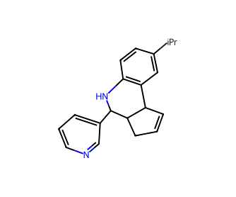 CC(C)c1ccc2c(c1)C1C=CCC1C(c1cccnc1)N2